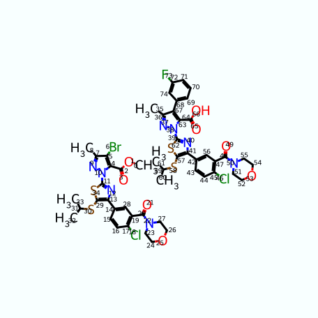 COC(=O)c1c(Br)c(C)nn1-c1nc(-c2ccc(Cl)c(C(=O)N3CCOCC3)c2)c(SC(C)C)s1.Cc1nn(-c2nc(-c3ccc(Cl)c(C(=O)N4CCOCC4)c3)c(SC(C)C)s2)c(C(=O)O)c1-c1cccc(F)c1